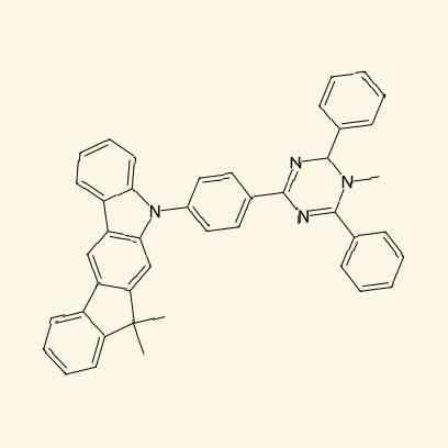 CN1C(c2ccccc2)=NC(c2ccc(-n3c4ccccc4c4cc5c(cc43)C(C)(C)c3ccccc3-5)cc2)=NC1c1ccccc1